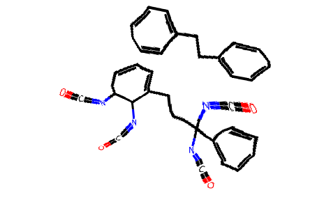 O=C=NC1C=CC=C(CCC(N=C=O)(N=C=O)c2ccccc2)C1N=C=O.c1ccc(CCc2ccccc2)cc1